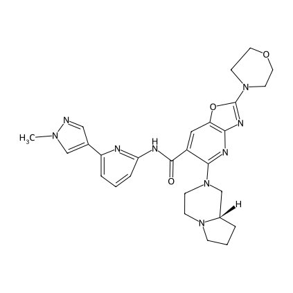 Cn1cc(-c2cccc(NC(=O)c3cc4oc(N5CCOCC5)nc4nc3N3CCN4CCC[C@H]4C3)n2)cn1